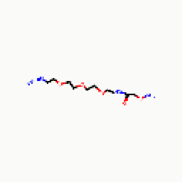 [N-]=[N+]=NCCOCCOCCOCCNC(=O)CON